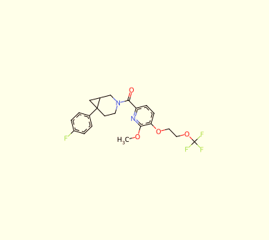 COc1nc(C(=O)N2CCC3(c4ccc(F)cc4)CC3C2)ccc1OCCOC(F)(F)F